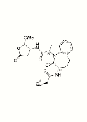 CC[C@H](C)CC(=O)N[C@H]1CCc2cccc3c2N(C1=O)[C@H](C(=O)NC1CC(=O)OC1OC)C3